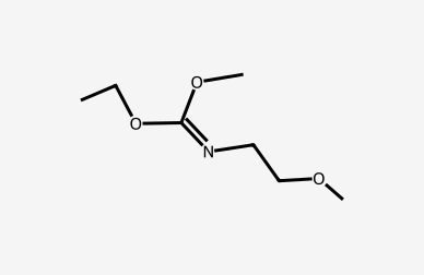 CCOC(=NCCOC)OC